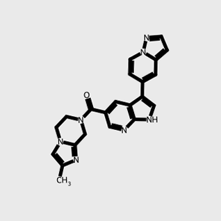 Cc1cn2c(n1)CN(C(=O)c1cnc3[nH]cc(-c4ccn5nccc5c4)c3c1)CC2